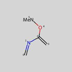 C=NC(=C)ONC